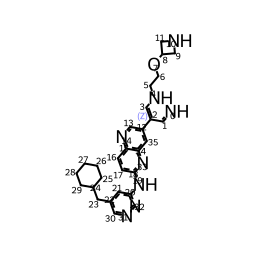 N=C/C(=C\NCCOC1CNC1)c1cnc2ccc(Nc3cc(CC4CCCCC4)cnn3)nc2c1